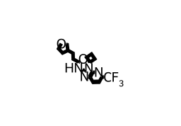 O=C(CCC1CCOC1)Nc1nc2ccc(C(F)(F)F)nc2n1C1CCC1